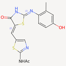 CC(=O)Nc1ncc(/C=C2\S/C(=N\c3ccc(O)cc3C)NC2=O)s1